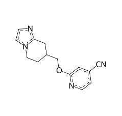 N#Cc1ccnc(OCC2CCn3ccnc3C2)c1